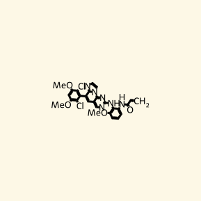 C=CC(=O)Nc1cccc(OC)c1Nc1ncc2cc(-c3c(Cl)c(OC)cc(OC)c3Cl)c3nccn3c2n1